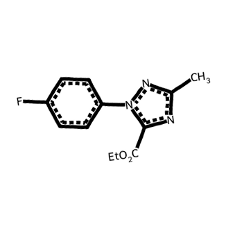 CCOC(=O)c1nc(C)nn1-c1ccc(F)cc1